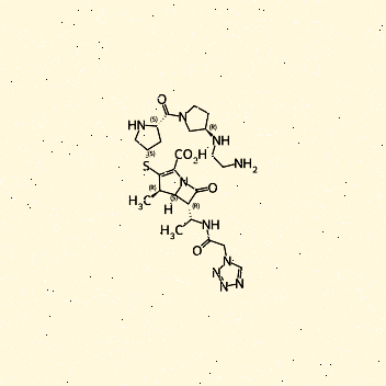 CC(NC(=O)Cn1cnnn1)[C@H]1C(=O)N2C(C(=O)O)=C(S[C@@H]3CN[C@H](C(=O)N4CC[C@@H](NCCN)C4)C3)[C@H](C)[C@H]12